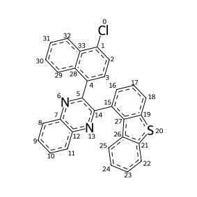 Clc1ccc(-c2nc3ccccc3nc2-c2cccc3sc4ccccc4c23)c2ccccc12